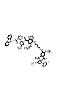 C=C1C[C@@H](C2NCCO2)N(C(=O)c2cc(OC)c(OCCCCCOc3cc(N)c(C(=O)N4CC(=C)C[C@H]4C4OCCN4C(=O)OCC4c5ccccc5-c5ccccc54)cc3OC)cc2N)C1